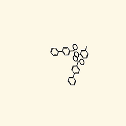 Cc1ccc(OC(=O)c2ccc(-c3ccccc3)cc2)c(OC(=O)c2ccc(-c3ccccc3)cc2)c1